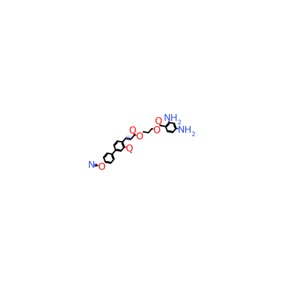 COc1cc(-c2ccc(OC#N)cc2)ccc1/C=C/C(=O)OCCCOC(=O)c1ccc(N)cc1N